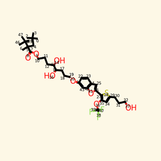 CC(C)(C)CC(C)(C(=O)OCCCC(O)C(O)CCCOc1ccc2cc(-c3sc(CCCO)cc3OC(F)(F)F)oc2c1)C(C)(C)C